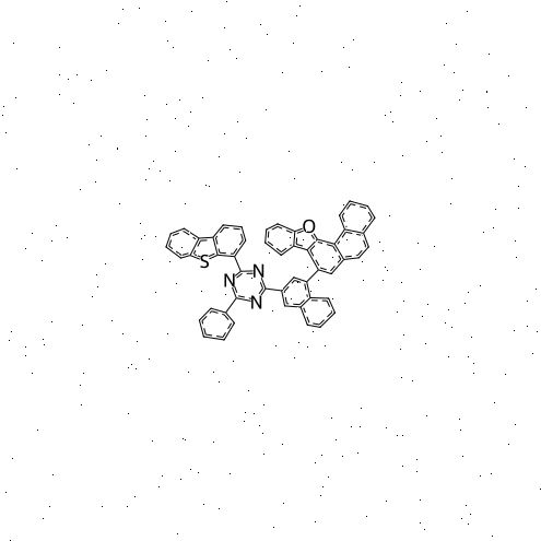 c1ccc(-c2nc(-c3cc(-c4cc5ccc6ccccc6c5c5oc6ccccc6c45)c4ccccc4c3)nc(-c3cccc4c3sc3ccccc34)n2)cc1